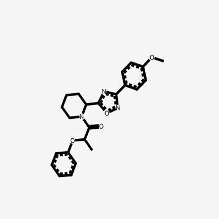 COc1ccc(-c2noc(C3CCCCN3C(=O)C(C)Oc3ccccc3)n2)cc1